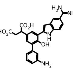 N=C(N)c1ccc2[nH]c(-c3cc(C(CC(=O)O)C(=O)O)cc(-c4cccc(N)c4)c3O)cc2c1